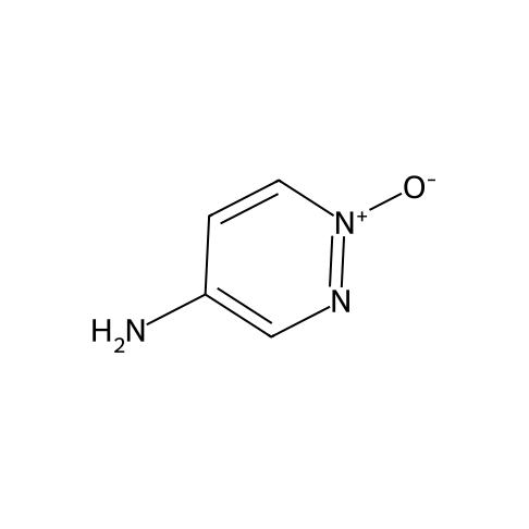 Nc1cc[n+]([O-])nc1